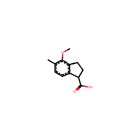 COc1c(C)ccc2c1CCC2C(=O)O